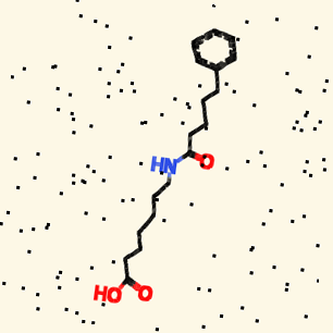 O=C(O)CCCCCCNC(=O)CCCCc1ccccc1